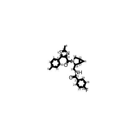 Cc1ccc(-c2sc(C)nc2C(=O)N2CC3CC3C2CNC(=O)c2ccc(F)cc2)cc1